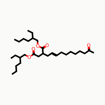 CCCCC(CC)COC(=O)CC(C/C=C/CCCCCCC(C)=O)C(=O)OCC(CC)CCCC